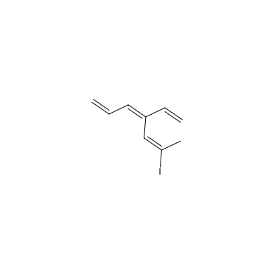 C=C/C=C(C=C)\C=C(/C)I